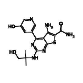 CC(C)(CO)Nc1nc(-c2cncc(O)c2)c2c(N)c(C(N)=O)sc2n1